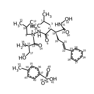 CC(C)C[C@@H](C(=O)NN(CC(C)C)C(=O)[C@H](N)CO)[C@H](CC=Cc1ccccc1)C(=O)NO.Cc1ccc(S(=O)(=O)O)cc1